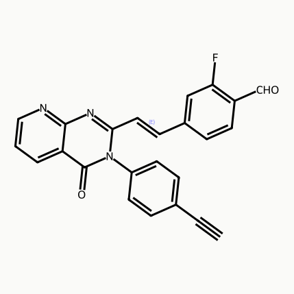 C#Cc1ccc(-n2c(/C=C/c3ccc(C=O)c(F)c3)nc3ncccc3c2=O)cc1